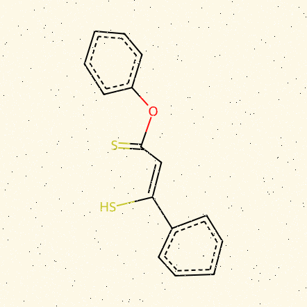 S=C(C=C(S)c1ccccc1)Oc1ccccc1